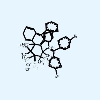 CC12C(=C3Cc4ccccc4C3=C3C=CCCC31)[C](C)([Zr+2](=[C](c1ccc(Br)cc1)c1ccc(Br)cc1)[CH]1C=CC=C1)C(C)(C)C(C)(C)C2(C)C.[Cl-].[Cl-]